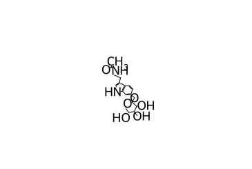 CC(=O)NCCc1c[nH]c2cc(OC3OCC(O)C(O)C3O)ccc12